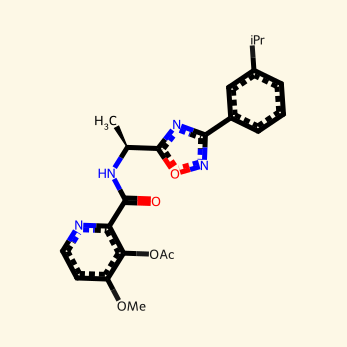 COc1ccnc(C(=O)N[C@@H](C)c2nc(-c3cccc(C(C)C)c3)no2)c1OC(C)=O